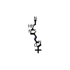 CC(C)(C)c1cnc(/C=C/c2cnc(NCC#N)s2)o1